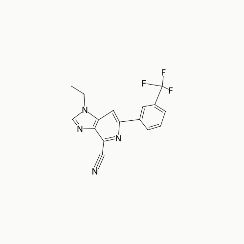 CCn1cnc2c(C#N)nc(-c3cccc(C(F)(F)F)c3)cc21